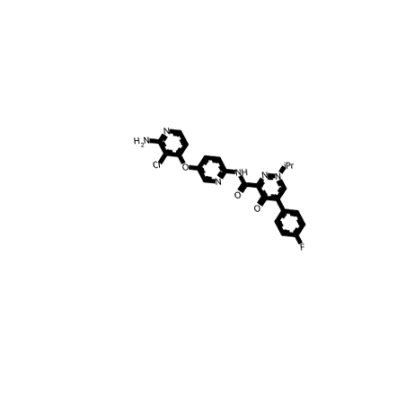 CC(C)n1cc(-c2ccc(F)cc2)c(=O)c(C(=O)Nc2ccc(Oc3ccnc(N)c3Cl)cn2)n1